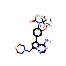 COc1cc(-c2cc(CN3CCOCC3)n3ncnc(N)c23)ccc1N(C(=O)O)C(C)(C)C